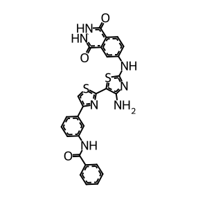 Nc1nc(Nc2ccc3c(=O)[nH][nH]c(=O)c3c2)sc1-c1nc(-c2cccc(NC(=O)c3ccccc3)c2)cs1